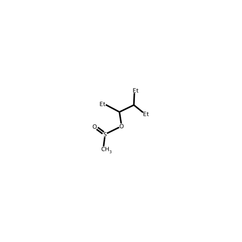 CCC(CC)C(CC)OS(C)=O